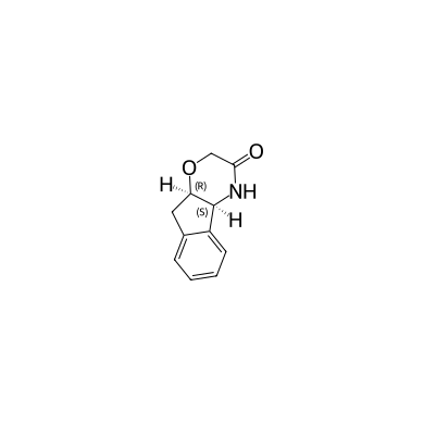 O=C1CO[C@@H]2Cc3ccccc3[C@@H]2N1